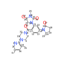 Cc1cnc(N2CCN(C(=O)c3ccc(N4C(=O)CCC4C)cc3N3CC(=O)N(C)C3=O)CC2)c(C)c1